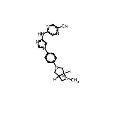 CN1C[C@@H]2CN(c3ccc(-n4cnc(Nc5cnc(C#N)cn5)c4)cc3)C[C@@H]21